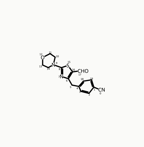 N#Cc1ccc(Cc2nc(N3CCOCC3)sc2C=O)cc1